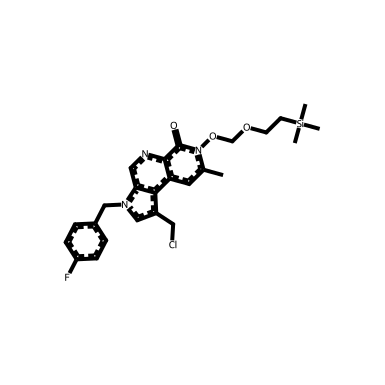 Cc1cc2c(ncc3c2c(CCl)cn3Cc2ccc(F)cc2)c(=O)n1OCOCC[Si](C)(C)C